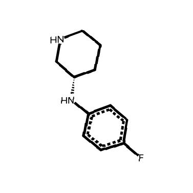 Fc1ccc(N[C@H]2CCCNC2)cc1